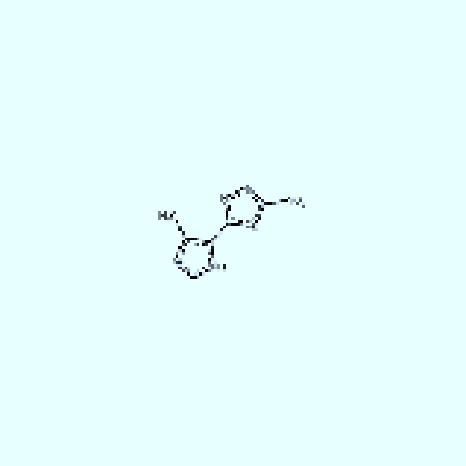 Cc1cc[nH]c1-c1ncc([N+](=O)[O-])s1